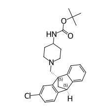 CC(C)(C)OC(=O)NC1CCN(C[C@@]23C[C@@H](c4ccccc42)c2ccc(Cl)cc23)CC1